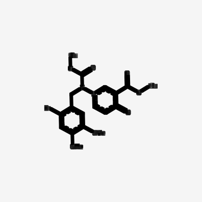 COc1cc(Br)c(CN(C(=O)OC(C)(C)C)n2ccc(=O)c(C(=O)OC(C)(C)C)c2)cc1OC